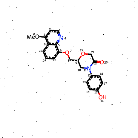 COc1ccnc2c(OCC3CN(c4ccc(O)cc4)C(=O)CO3)cccc12